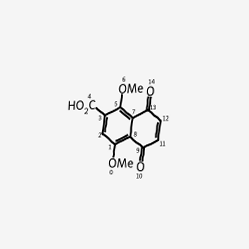 COc1cc(C(=O)O)c(OC)c2c1C(=O)C=CC2=O